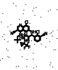 CC(C)(C)CNc1c(C#N)cnc2c(Cl)cc(N[C@H](C3=CN(C4(C(F)(F)F)CC4)NN3)c3cccc(C#N)c3Cl)cc12